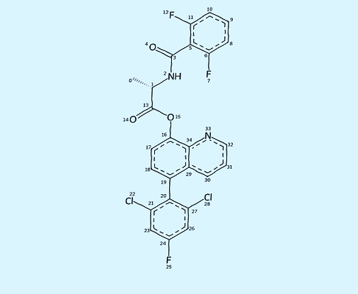 C[C@H](NC(=O)c1c(F)cccc1F)C(=O)Oc1ccc(-c2c(Cl)cc(F)cc2Cl)c2cccnc12